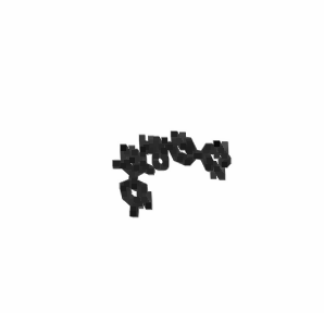 Cc1ccc(-c2c(C)nn(CC(=O)Nc3ccc(-c4cncnc4)cn3)c2C)cn1